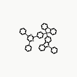 c1ccc(-c2cc(-c3ccccc3)nc(-c3ccc(C4(c5ccc6c(c5)c5ccccc5n6-c5ccccc5)c5ccccc5-c5ccccc54)cc3)n2)cc1